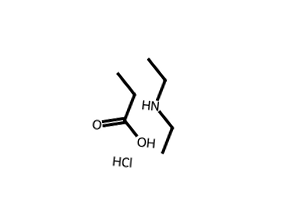 CCC(=O)O.CCNCC.Cl